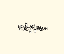 N[C@@H](Cc1ccc(O)cc1)C(=O)NCC(=O)NCC(=O)N[C@@H](CO)C(=O)O